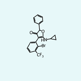 O=C1C(c2cccc(C(F)(F)F)c2Br)=C(NC2CC2)OC1c1ccccc1